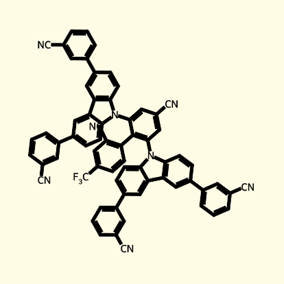 N#Cc1cccc(-c2ccc3c(c2)c2cc(-c4cccc(C#N)c4)ccc2n3-c2cc(C#N)cc(-n3c4ccc(-c5cccc(C#N)c5)cc4c4cc(-c5cccc(C#N)c5)ccc43)c2-c2ccc(C(F)(F)F)cc2C#N)c1